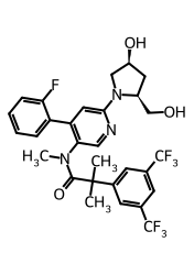 CN(C(=O)C(C)(C)c1cc(C(F)(F)F)cc(C(F)(F)F)c1)c1cnc(N2C[C@@H](O)C[C@H]2CO)cc1-c1ccccc1F